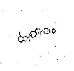 O=C(Cc1c(F)cccc1F)N1CCc2cnc(N3CCN(C4CCC4)CC3)nc2CC1